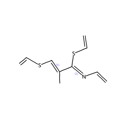 C=C/N=C(SC=C)/C(C)=C/SC=C